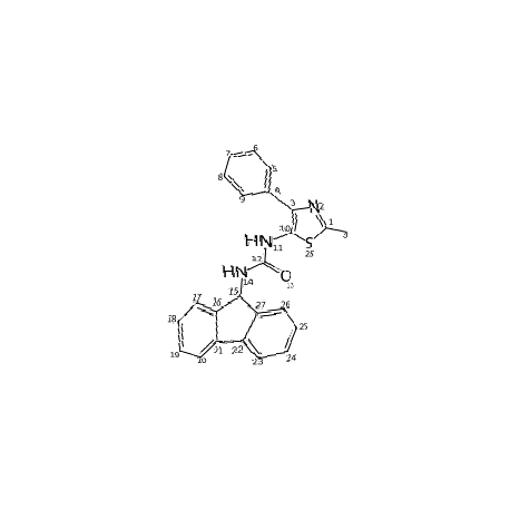 Cc1nc(-c2ccccc2)c(NC(=O)NC2c3ccccc3-c3ccccc32)s1